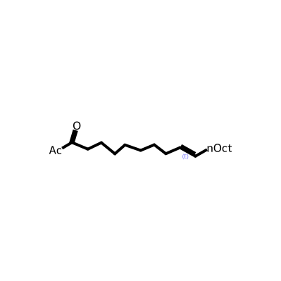 CCCCCCCC/C=C/CCCCCCCC(=O)C(C)=O